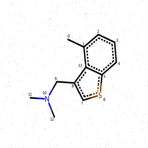 Cc1cccc2scc(CN(C)C)c12